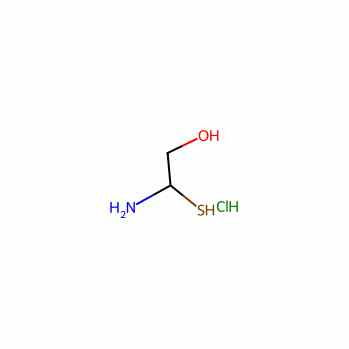 Cl.NC(S)CO